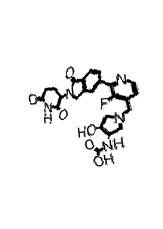 O=C(O)N[C@H]1CN(Cc2ccnc(-c3ccc4c(c3)CN(C3CCC(=O)NC3=O)C4=O)c2F)C[C@@H]1O